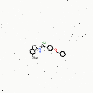 COc1ccc2c(c1)C(N[C@@H]1C[C@H]1c1ccc(OCc3ccccc3)cc1)CC2.Cl